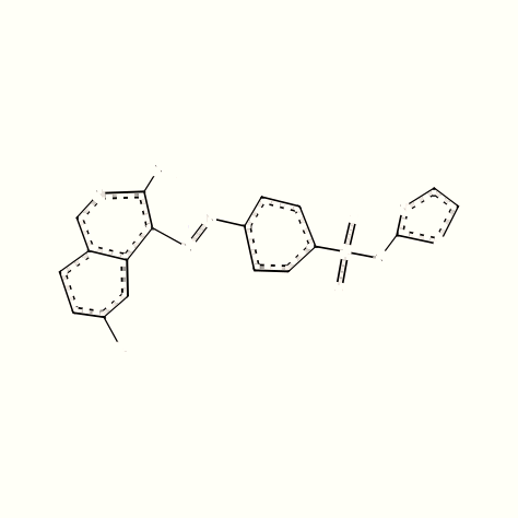 Nc1ncc2ccc(Br)cc2c1/N=N/c1ccc(S(=O)(=O)Nc2nccs2)cc1